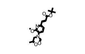 COc1nc(C=CC(=O)OC(C)(C)C)ccc1N(C=O)CC(C)=O